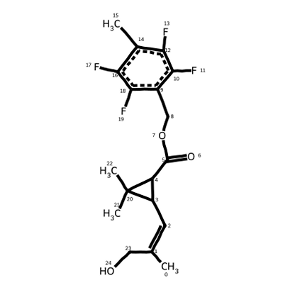 CC(=CC1C(C(=O)OCc2c(F)c(F)c(C)c(F)c2F)C1(C)C)CO